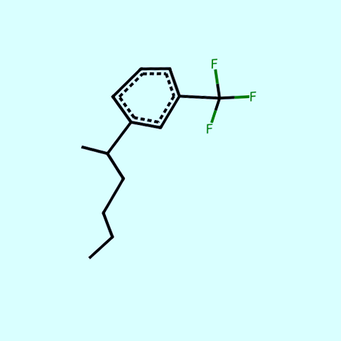 CCCCC(C)c1cccc(C(F)(F)F)c1